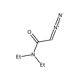 CCN(CC)C(=O)C=[N+]=[N-]